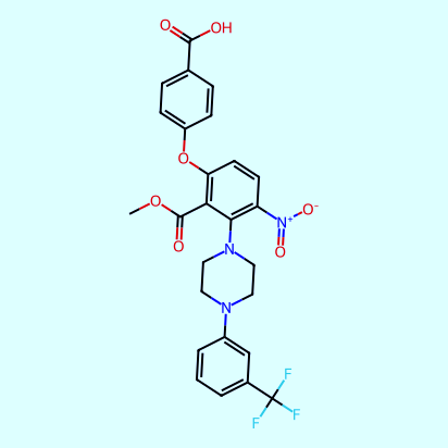 COC(=O)c1c(Oc2ccc(C(=O)O)cc2)ccc([N+](=O)[O-])c1N1CCN(c2cccc(C(F)(F)F)c2)CC1